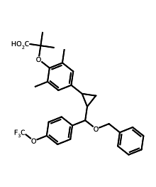 Cc1cc(C2CC2C(OCc2ccccc2)c2ccc(OC(F)(F)F)cc2)cc(C)c1OC(C)(C)C(=O)O